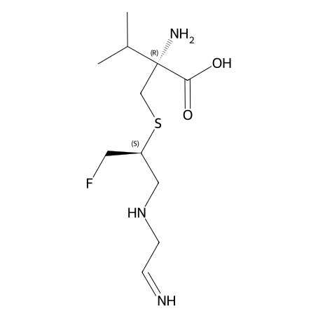 CC(C)[C@](N)(CS[C@H](CF)CNCC=N)C(=O)O